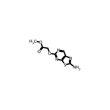 COC(=O)COc1ncc2nc(N)sc2n1